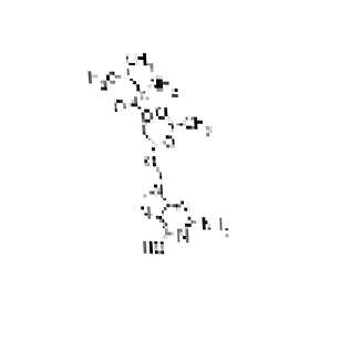 CC(=O)OC(COC(=O)[C@@H](N)C(C)C)OCn1cnc2c(O)nc(N)nc21